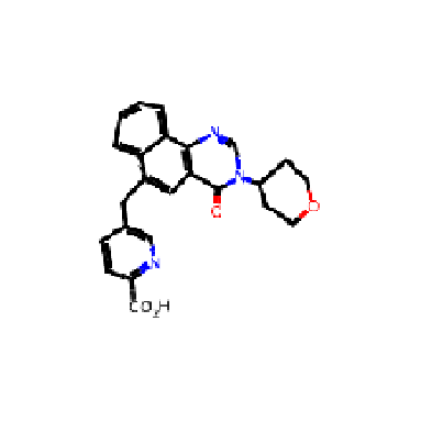 O=C(O)c1ccc(Cc2cc3c(=O)n(C4CCOCC4)cnc3c3ccccc23)cn1